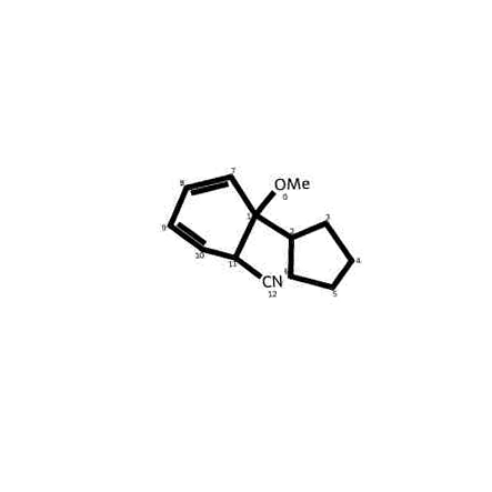 COC1(C2CCCC2)C=CC=CC1C#N